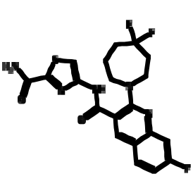 NC(=O)c1nc(NC(=O)c2cc3ccc(F)cc3nc2N2CCCC(F)(F)CC2)cs1